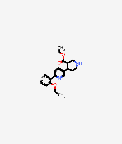 CCOC(=O)C1CNCCC1c1ccc(-c2ccccc2OCC)nc1